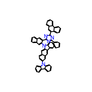 c1ccc(-c2nc(-c3cc4ccccc4cc3-n3c4ccccc4c4cc5cc(-n6c7ccccc7c7ccccc76)ccc5cc43)nc(-c3cc4ccccc4c4ccccc34)n2)cc1